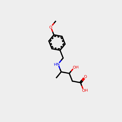 COc1ccc(CNC(C)C(O)CC(=O)O)cc1